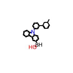 CC1C=CC=C(c2cccc(-n3c4ccccc4c4cc(BO)ccc43)c2)C1